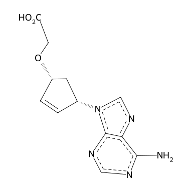 Nc1ncnc2c1ncn2[C@@H]1C=C[C@H](OCC(=O)O)C1